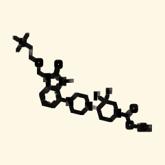 Cn1c(=O)n(COCC[Si](C)(C)C)c2cccc(N3CCN([C@H]4CCN(C(=O)OC(C)(C)C)CC4(F)F)CC3)c21